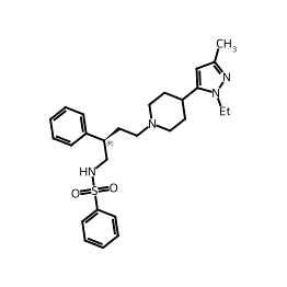 CCn1nc(C)cc1C1CCN(CC[C@@H](CNS(=O)(=O)c2ccccc2)c2ccccc2)CC1